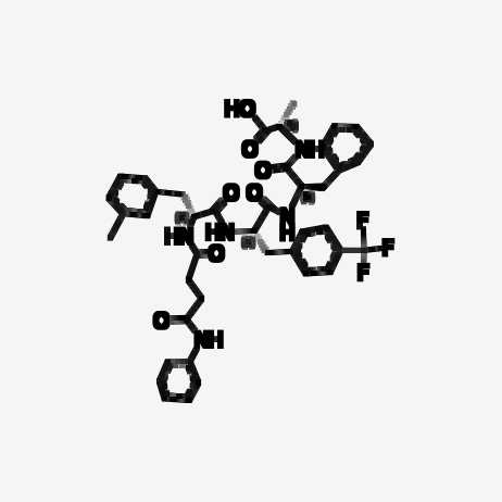 Cc1cccc(C[C@@H](NC(=O)CCC(=O)Nc2ccccc2)C(=O)N[C@@H](Cc2ccc(C(F)(F)F)cc2)C(=O)N[C@H](Cc2ccccc2)C(=O)N[C@@H](C)C(=O)O)c1